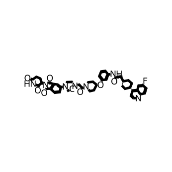 C[C@@H](C(=O)Nc1cccc(OC2CCN(C(=O)CN3CCN(c4ccc5c(c4)C(=O)N(C4CCC(=O)NC4=O)C5=O)CC3)CC2)c1)[C@H]1CC[C@@H](c2ccnc3ccc(F)cc32)CC1